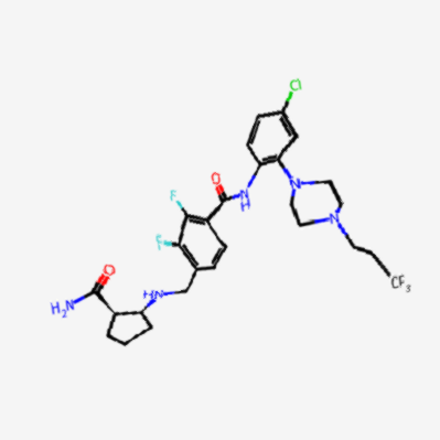 NC(=O)[C@@H]1CCC[C@@H]1NCc1ccc(C(=O)Nc2ccc(Cl)cc2N2CCN(CCC(F)(F)F)CC2)c(F)c1F